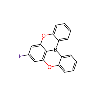 Ic1cc2c3c(c1)Oc1ccccc1B3c1ccccc1O2